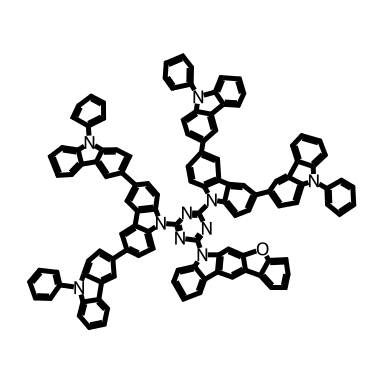 c1ccc(-n2c3ccccc3c3cc(-c4ccc5c(c4)c4cc(-c6ccc7c(c6)c6ccccc6n7-c6ccccc6)ccc4n5-c4nc(-n5c6ccc(-c7ccc8c(c7)c7ccccc7n8-c7ccccc7)cc6c6cc(-c7ccc8c(c7)c7ccccc7n8-c7ccccc7)ccc65)nc(-n5c6ccccc6c6cc7c(cc65)oc5ccccc57)n4)ccc32)cc1